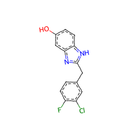 Oc1ccc2[nH]c(Cc3ccc(F)c(Cl)c3)nc2c1